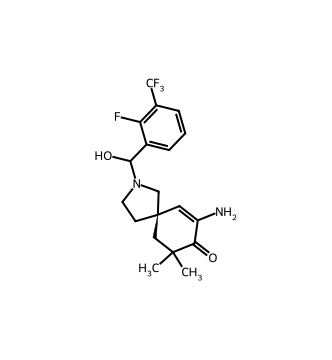 CC1(C)C[C@@]2(C=C(N)C1=O)CCN(C(O)c1cccc(C(F)(F)F)c1F)C2